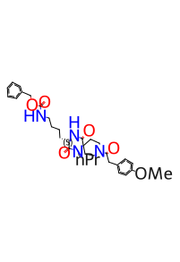 CCCN1C(=O)[C@H](CCCCNC(=O)OCc2ccccc2)NC(=O)C12CCN(C(=O)Cc1ccc(OC)cc1)CC2